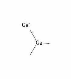 [CH3][Ga]([CH3])[CH3].[Ga]